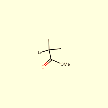 [Li][C](C)(C)C(=O)OC